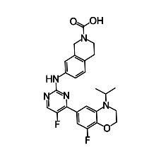 CC(C)N1CCOc2c(F)cc(-c3nc(Nc4ccc5c(c4)CN(C(=O)O)CC5)ncc3F)cc21